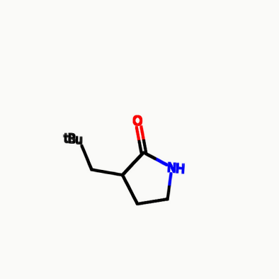 CC(C)(C)CC1CCNC1=O